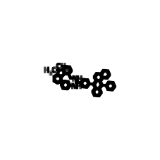 CC1(C)c2ccccc2-c2c(CNC(Nc3ccccc3)c3ccc(-c4c5ccccc5c(-c5ccccc5)c5c4ccc4ccccc45)cc3)cccc21